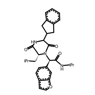 CC(C)C[C@@H]1C(=O)NC(C2Cc3ccccc3C2)C(=O)N1[C@@H](C(=O)NC(C)C)c1ccc2ccoc2c1